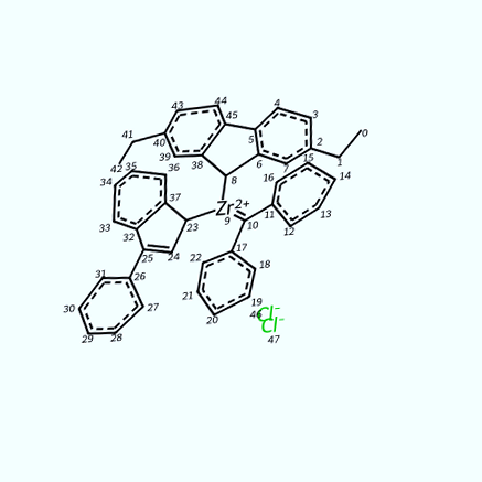 CCc1ccc2c(c1)[CH]([Zr+2](=[C](c1ccccc1)c1ccccc1)[CH]1C=C(c3ccccc3)c3ccccc31)c1cc(CC)ccc1-2.[Cl-].[Cl-]